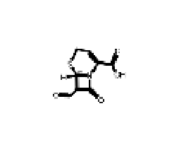 O=CC1C(=O)N2C(C(=O)O)=CCS[C@@H]12